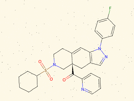 O=C(c1ccccn1)[C@]12Cc3cnn(-c4ccc(F)cc4)c3C=C1CCN(S(=O)(=O)C1CCCCC1)C2